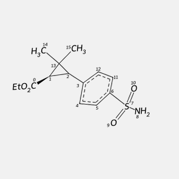 CCOC(=O)[C@@H]1C(c2ccc(S(N)(=O)=O)cc2)C1(C)C